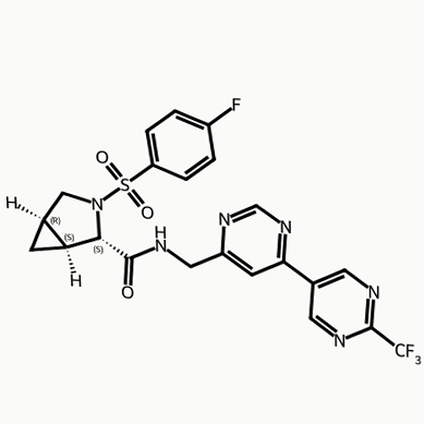 O=C(NCc1cc(-c2cnc(C(F)(F)F)nc2)ncn1)[C@@H]1[C@H]2C[C@H]2CN1S(=O)(=O)c1ccc(F)cc1